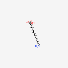 NCCCCCCCCCCCCCCCC[Si](O)(O)O